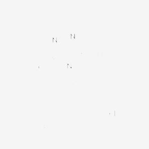 Cn1c(=O)n(-c2cc(Cl)cc(Cl)c2)c(=O)n1C